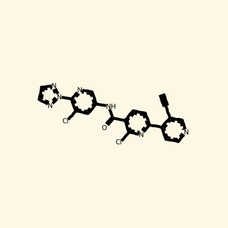 C#Cc1cnccc1-c1ccc(C(=O)Nc2cnc(-n3nccn3)c(Cl)c2)c(Cl)n1